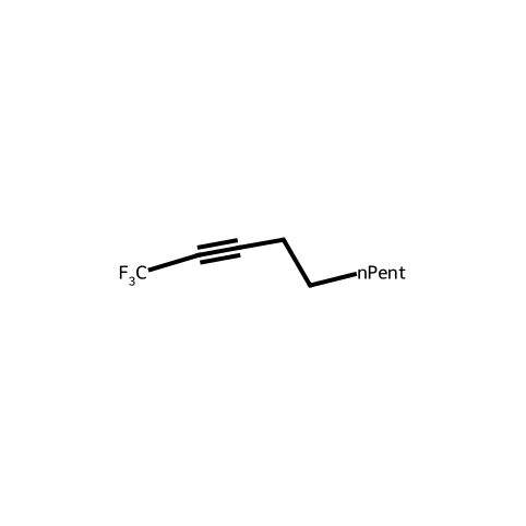 CCCCCCCC#CC(F)(F)F